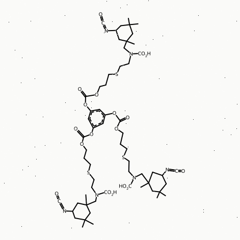 CC1(C)CC(N=C=O)CC(C)(CN(CCSCCCOC(=O)Oc2cc(OC(=O)OCCCSCCN(CC3(C)CC(N=C=O)CC(C)(C)C3)C(=O)O)cc(OC(=O)OCCCSCCN(CC3(C)CC(N=C=O)CC(C)(C)C3)C(=O)O)c2)C(=O)O)C1